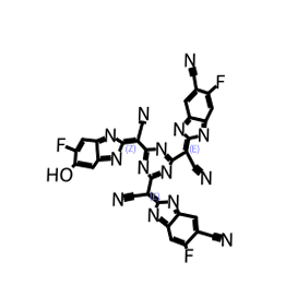 N#C/C(=C1/N=c2cc(O)c(F)cc2=N1)c1nc(/C(C#N)=C2/N=c3cc(F)c(C#N)cc3=N2)nc(/C(C#N)=C2/N=c3cc(F)c(C#N)cc3=N2)n1